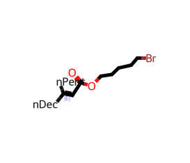 CCCCCCCCCC/C(=C/C(=O)OCCCCCBr)CCCCC